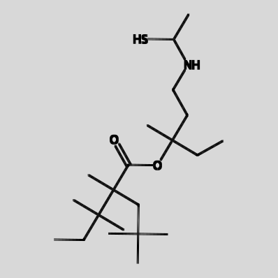 CCC(C)(CCNC(C)S)OC(=O)C(C)(CC(C)(C)C)C(C)(C)CC